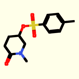 Cc1ccc(S(=O)(=O)OC2CCC(=O)N(C)C2)cc1